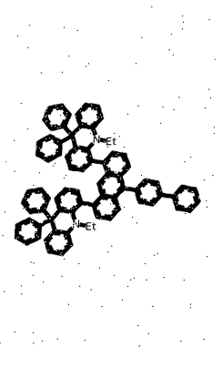 CCN1c2ccccc2C(c2ccccc2)(c2ccccc2)c2cccc(-c3cccc4c(-c5ccc(-c6ccccc6)cc5)c5cccc(-c6cccc7c6N(CC)c6ccccc6C7(c6ccccc6)c6ccccc6)c5cc34)c21